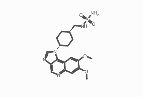 COc1cc2ncc3ncn([C@H]4CC[C@H](CNS(N)(=O)=O)CC4)c3c2cc1OC